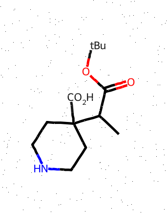 CC(C(=O)OC(C)(C)C)C1(C(=O)O)CCNCC1